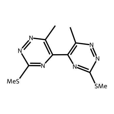 CSc1nnc(C)c(-c2nc(SC)nnc2C)n1